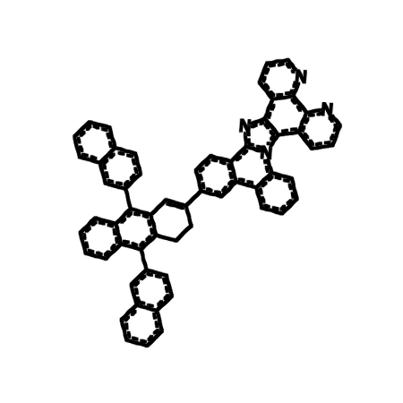 C1=C(c2ccc3c(c2)c2ccccc2n2c3nc3c4cccnc4c4ncccc4c32)CCc2c1c(-c1ccc3ccccc3c1)c1ccccc1c2-c1ccc2ccccc2c1